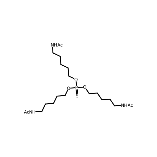 CC(=O)NCCCCCOP(=S)(OCCCCCNC(C)=O)OCCCCCNC(C)=O